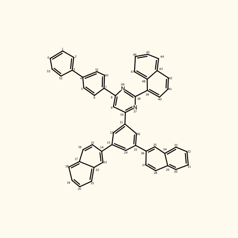 c1ccc(-c2ccc(-c3cc(-c4cc(-c5ccc6ccccc6c5)cc(-c5ccc6ccccc6c5)c4)nc(-c4cccc5ccccc45)n3)cc2)cc1